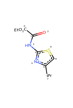 CCOC(=O)C(=O)Nc1nc(C(C)C)cs1